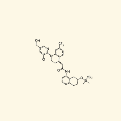 CC(C)(C)[Si](C)(C)OC1CCc2cccc(NC(=O)/C=C3\CCN(c4ncc(CO)cc4Cl)c4cc(C(F)(F)F)ccc43)c2C1